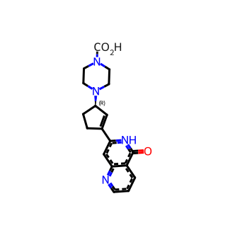 O=C(O)N1CCN([C@H]2C=C(c3cc4ncccc4c(=O)[nH]3)CC2)CC1